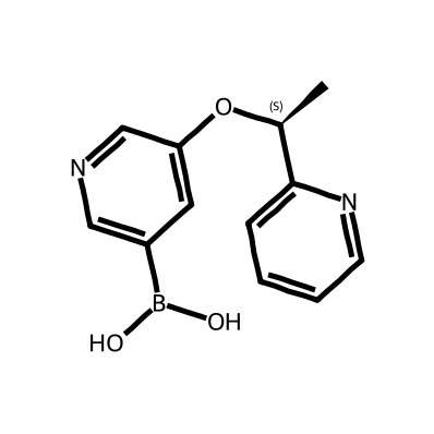 C[C@H](Oc1cncc(B(O)O)c1)c1ccccn1